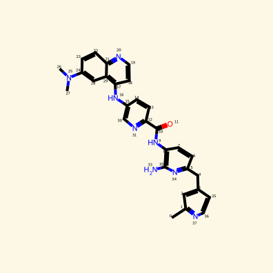 Cc1cc(Cc2ccc(NC(=O)c3ccc(Nc4ccnc5ccc(N(C)C)cc45)cn3)c(N)n2)ccn1